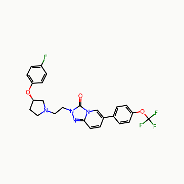 O=c1n(CCN2CC[C@@H](Oc3ccc(F)cc3)C2)nc2ccc(-c3ccc(OC(F)(F)F)cc3)cn12